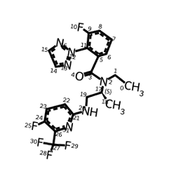 CCN(C(=O)c1cccc(F)c1-n1nccn1)[C@@H](C)CNc1ccc(F)c(C(F)(F)F)n1